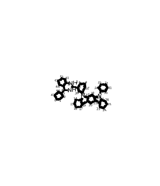 c1ccc(C2NC(c3cccc(-n4c5ccccc5c5cc6c7ccccc7n(-c7ccccc7)c6cc54)c3)Nc3ccccc32)cc1